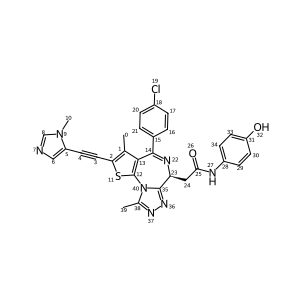 Cc1c(C#Cc2cncn2C)sc2c1C(c1ccc(Cl)cc1)=N[C@@H](CC(=O)Nc1ccc(O)cc1)c1nnc(C)n1-2